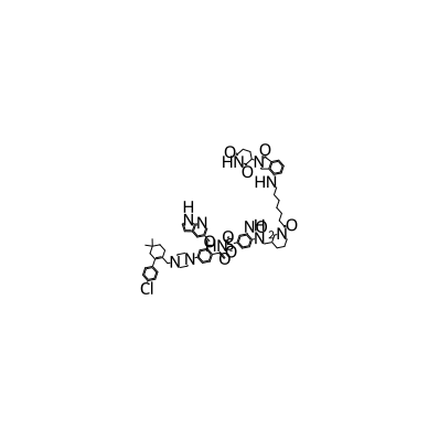 CC1(C)CCC(CN2CCN(c3ccc(C(=O)NS(=O)(=O)c4ccc(NCC5CCCN(C(=O)CCCCCCNc6cccc7c6CN(C6CCC(=O)NC6=O)C7=O)C5)c([N+](=O)[O-])c4)c(Oc4cnc5[nH]ccc5c4)c3)CC2)=C(c2ccc(Cl)cc2)C1